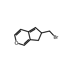 BrCC1C=C2C=COC=C2C1